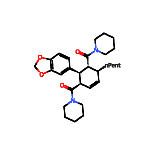 CCCCC[C@H]1C=C[C@@H](C(=O)N2CCCCC2)[C@@H](c2ccc3c(c2)OCO3)[C@@H]1C(=O)N1CCCCC1